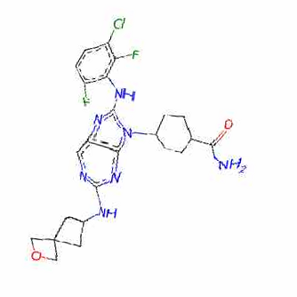 NC(=O)C1CCC(n2c(Nc3c(F)ccc(Cl)c3F)nc3cnc(NC4CC5(COC5)C4)nc32)CC1